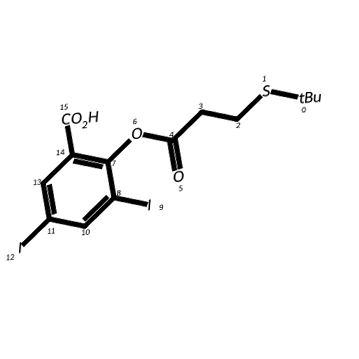 CC(C)(C)SCCC(=O)Oc1c(I)cc(I)cc1C(=O)O